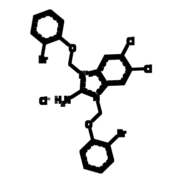 Nc1n(COc2ccccc2Br)c2cc(Cl)c(Cl)cc2[n+]1COc1ccccc1Br.[Cl-]